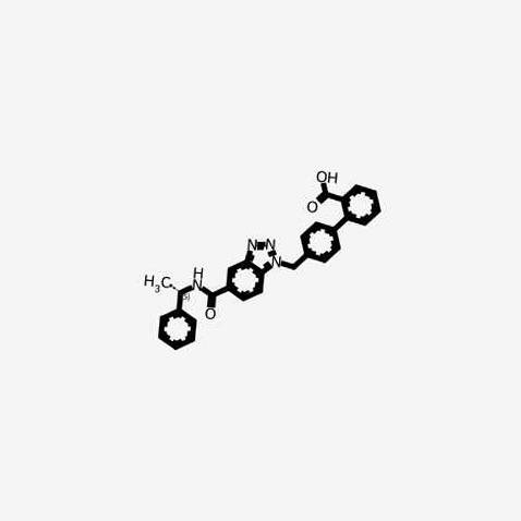 C[C@H](NC(=O)c1ccc2c(c1)nnn2Cc1ccc(-c2ccccc2C(=O)O)cc1)c1ccccc1